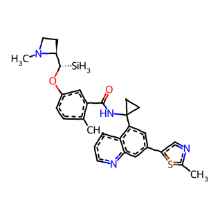 Cc1ncc(-c2cc(C3(NC(=O)c4cc(O[C@@H]([SiH3])[C@@H]5CCN5C)ccc4C)CC3)c3cccnc3c2)s1